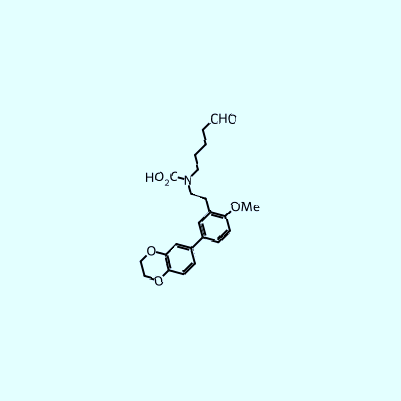 COc1ccc(-c2ccc3c(c2)OCCO3)cc1CCN(CCCCC=O)C(=O)O